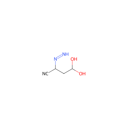 N#CC(CC(O)O)N=N